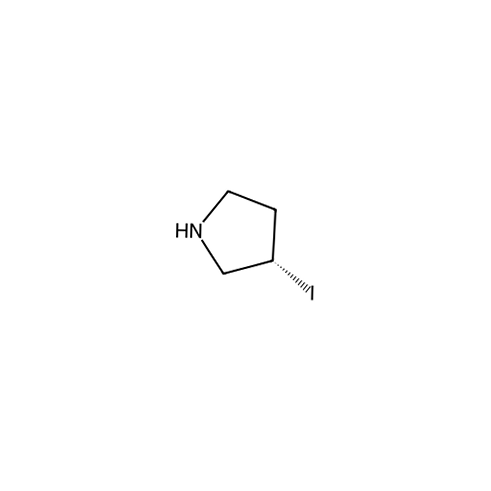 I[C@H]1CCNC1